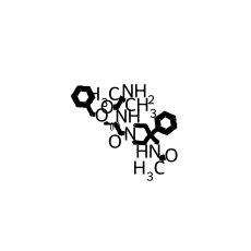 CC(=O)NCC1(c2ccccc2)CCN(C(=O)[C@@H](COCc2ccccc2)NC(=O)C(C)(C)N)CC1